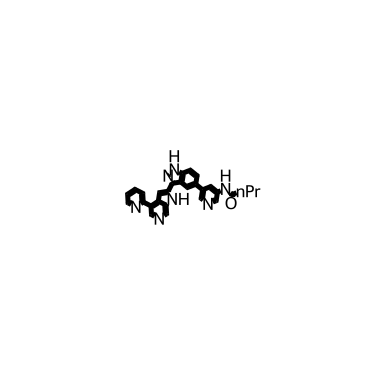 CCCC(=O)Nc1cncc(-c2ccc3[nH]nc(-c4cc5c(-c6ccccn6)cncc5[nH]4)c3c2)c1